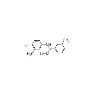 [CH2]c1cccc(B(Nc2ccc(Cl)c(C)c2)OCC)c1